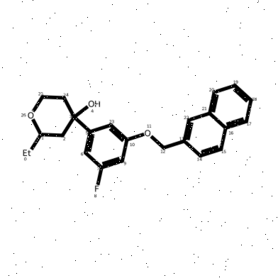 CCC1CC(O)(c2cc(F)cc(OCc3ccc4ccccc4c3)c2)CCO1